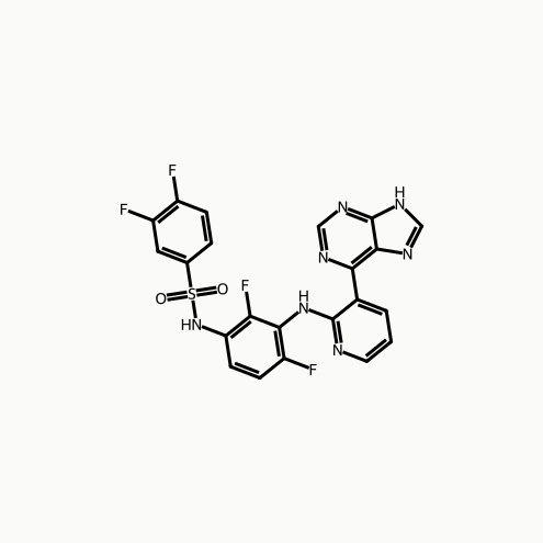 O=S(=O)(Nc1ccc(F)c(Nc2ncccc2-c2ncnc3[nH]cnc23)c1F)c1ccc(F)c(F)c1